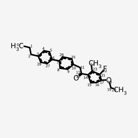 CCCc1ccc(-c2ccc(CC(=O)c3ccc(OCC)c(F)c3C)cc2)cc1